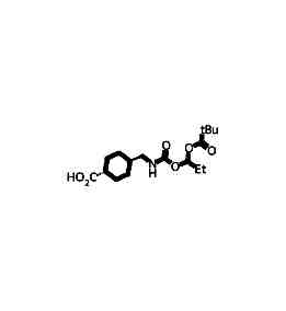 CCC(OC(=O)NC[C@H]1CC[C@H](C(=O)O)CC1)OC(=O)C(C)(C)C